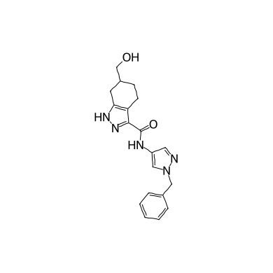 O=C(Nc1cnn(Cc2ccccc2)c1)c1n[nH]c2c1CCC(CO)C2